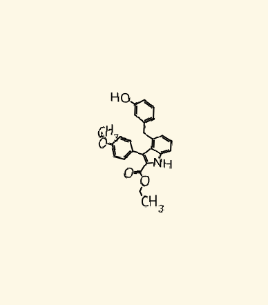 CCOC(=O)c1[nH]c2cccc(Cc3cccc(O)c3)c2c1-c1ccc(OC)cc1